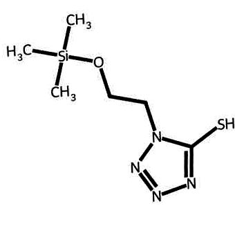 C[Si](C)(C)OCCn1nnnc1S